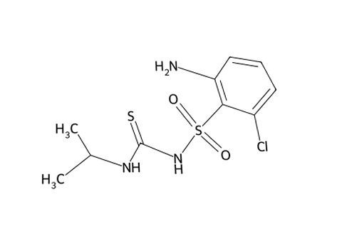 CC(C)NC(=S)NS(=O)(=O)c1c(N)cccc1Cl